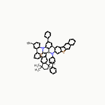 CC(C)(C)c1ccc(N2c3cc(-c4ccccc4)cc4c3B(c3c2sc2cc5c(cc32)C(C)(C)CCC5(C)C)N(c2ccc(-c3ccccc3)cc2)c2cc3sc5cc6ccccc6cc5c3cc2-4)c(-c2ccccc2)c1